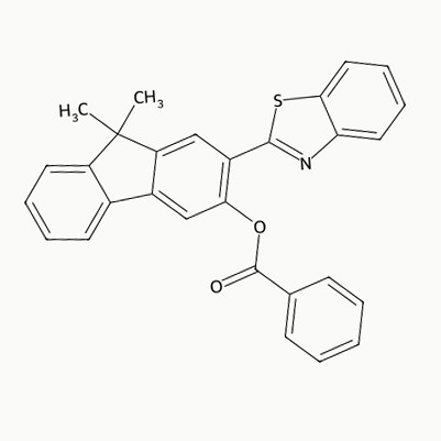 CC1(C)c2ccccc2-c2cc(OC(=O)c3ccccc3)c(-c3nc4ccccc4s3)cc21